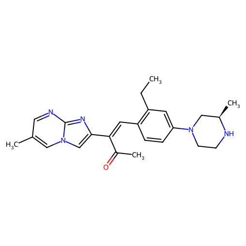 CCc1cc(N2CCN[C@H](C)C2)ccc1/C=C(\C(C)=O)c1cn2cc(C)cnc2n1